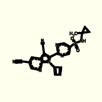 CC1(NS(=O)(=O)c2cnc(-c3c(C#N)c4cc(C#N)cnc4n3C3=CC=C3)nc2)CC1